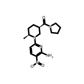 C[C@H]1CC[C@@H](C(=O)N2CCCC2)CN1c1ccc([N+](=O)[O-])c(N)n1